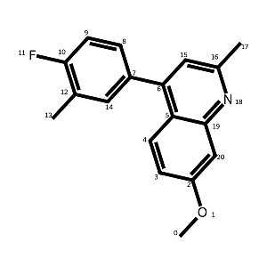 COc1ccc2c(-c3ccc(F)c(C)c3)cc(C)nc2c1